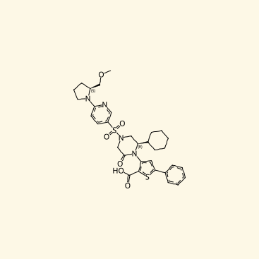 COC[C@@H]1CCCN1c1ccc(S(=O)(=O)N2CC(=O)N(c3cc(-c4ccccc4)sc3C(=O)O)[C@H](C3CCCCC3)C2)cn1